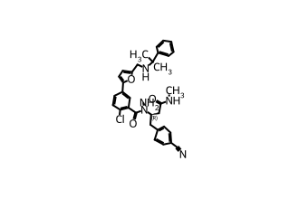 CNC(=O)C[C@@H](Cc1ccc(C#N)cc1)N(N)C(=O)c1cc(-c2ccc(CNC(C)(C)c3ccccc3)o2)ccc1Cl